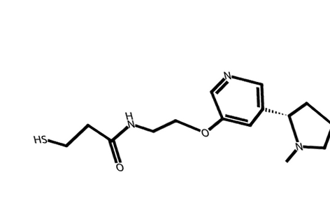 CN1CCC[C@H]1c1cncc(OCCNC(=O)CCS)c1